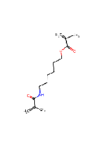 C=C(C)C(=O)NCCCCCCOC(=O)C(=C)C